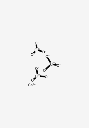 [Ga+3].[O-][Cl+2]([O-])[O-].[O-][Cl+2]([O-])[O-].[O-][Cl+2]([O-])[O-]